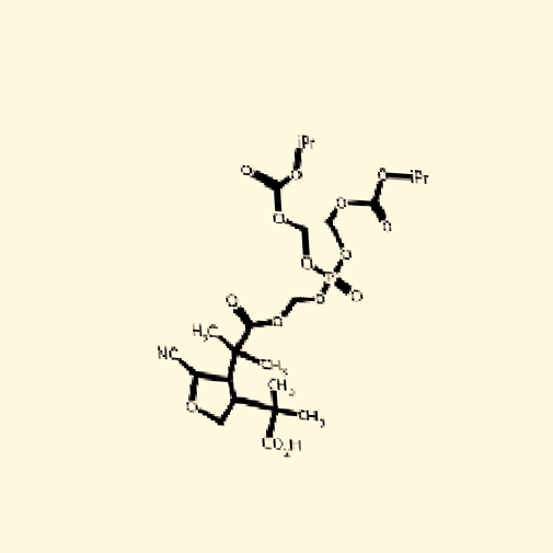 CC(C)OC(=O)OCOP(=O)(OCOC(=O)OC(C)C)OCOC(=O)C(C)(C)C1C(C#N)OCC1C(C)(C)C(=O)O